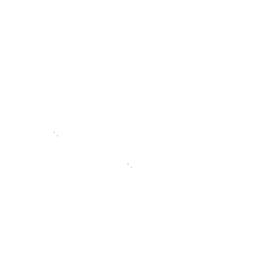 NCCc1c[nH]c2c(F)c(C3C=CCCC3)ccc12